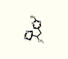 CC(Cc1cnc(C(C)(C)C)nc1)c1cncnc1